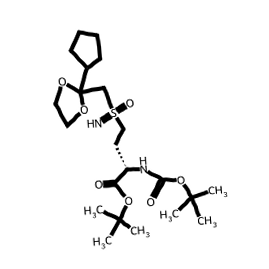 CC(C)(C)OC(=O)N[C@@H](CCS(=N)(=O)CC1(C2CCCC2)OCCO1)C(=O)OC(C)(C)C